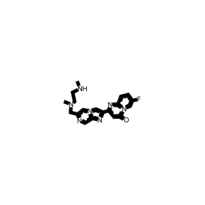 CNCCN(C)Cc1cn2cc(-c3cc(=O)n4cc(F)ccc4n3)nc2cn1